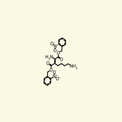 NCCCC/C(C(=O)OCc1ccccc1[N+](=O)[O-])=C(/N)C(=O)OCc1ccccc1[N+](=O)[O-]